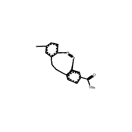 COC(=O)c1ccc2c(c1)/N=N\c1ccc(I)cc1CC2